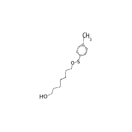 Cc1ccc(SOCCCCCCCO)cc1